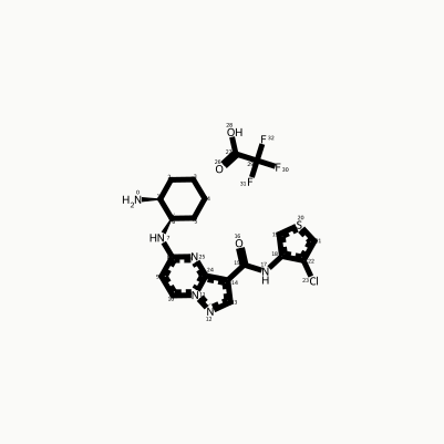 N[C@H]1CCCC[C@H]1Nc1ccn2ncc(C(=O)Nc3cscc3Cl)c2n1.O=C(O)C(F)(F)F